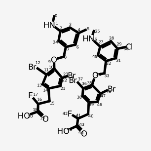 CNc1cc(C)cc(COc2c(Br)cc(CC(F)C(=O)O)cc2Br)c1.CNc1cc(Cl)cc(COc2c(Br)cc(CC(F)C(=O)O)cc2Br)c1